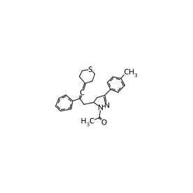 CC(=O)N1N=C(c2ccc(C)cc2)CC1CC(=C=C1CCSCC1)c1ccccc1